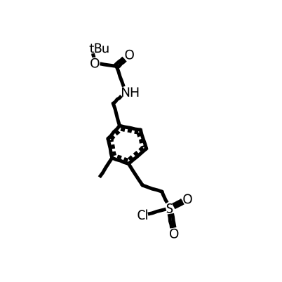 Cc1cc(CNC(=O)OC(C)(C)C)ccc1CCS(=O)(=O)Cl